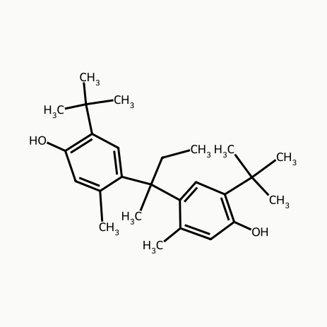 CCC(C)(c1cc(C(C)(C)C)c(O)cc1C)c1cc(C(C)(C)C)c(O)cc1C